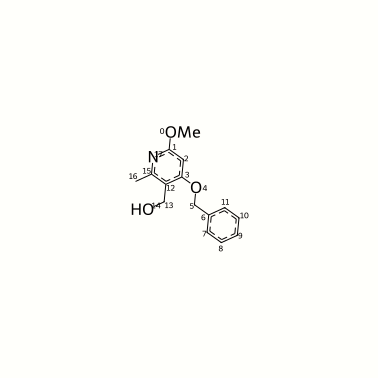 COc1cc(OCc2ccccc2)c(CO)c(C)n1